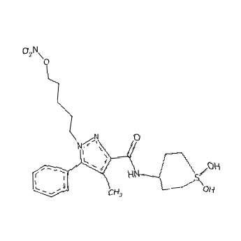 Cc1c(C(=O)NC2CCS(O)(O)CC2)nn(CCCCCO[N+](=O)[O-])c1-c1ccccc1